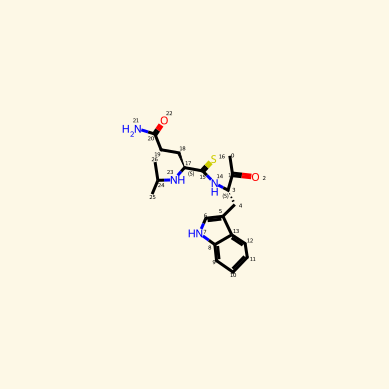 CC(=O)[C@H](Cc1c[nH]c2ccccc12)NC(=S)[C@H](CCC(N)=O)NC(C)C